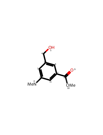 CNc1cc(CO)cc(C(=O)OC)c1